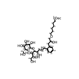 CCCCCCCCCCCCCCCCOCC(O)Cc1ccccc1CNC[C@H](O)[C@@H](O[C@H]1O[C@H](CO)[C@@H](O)[C@H](O)[C@H]1O)[C@H](O)[C@H](O)CO